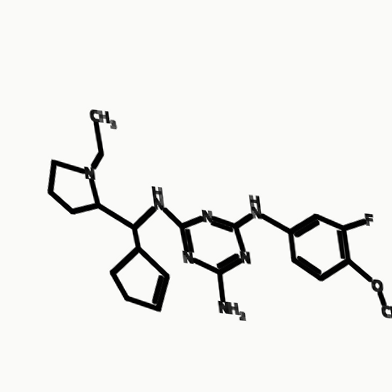 CCN1CCCC1C(Nc1nc(N)nc(Nc2ccc(OC)c(F)c2)n1)C1C=CCC1